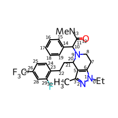 CCn1nc(C)c2c1CCN(C(C(=O)NC)c1ccccc1)C2CCc1ccc(C(F)(F)F)cc1F